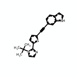 CC(C)(C)n1ccnc1-c1ccc(C#Cc2ccc3cc[nH]c3c2)s1